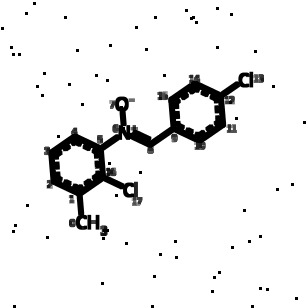 Cc1cccc([N+]([O-])=Cc2ccc(Cl)cc2)c1Cl